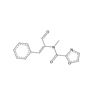 CN(C(=O)c1ncco1)C([C]=O)=Cc1ccccc1